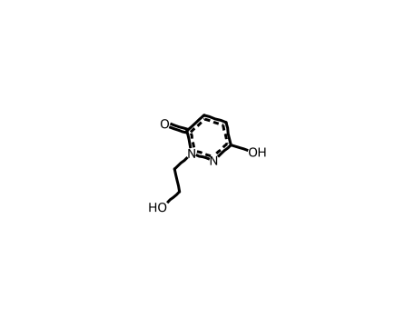 O=c1ccc(O)nn1CCO